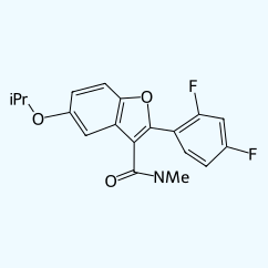 CNC(=O)c1c(-c2ccc(F)cc2F)oc2ccc(OC(C)C)cc12